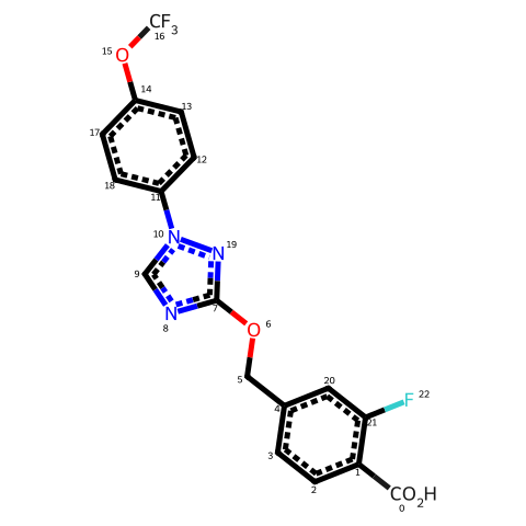 O=C(O)c1ccc(COc2ncn(-c3ccc(OC(F)(F)F)cc3)n2)cc1F